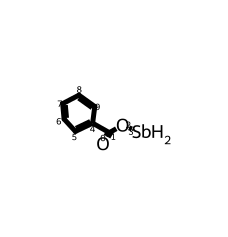 O=C([O][SbH2])c1ccccc1